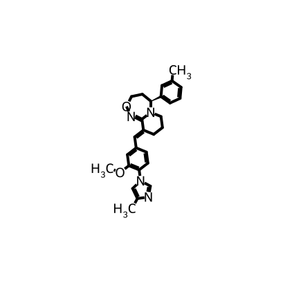 COc1cc(/C=C2\CCCN3C2=NOCC[C@H]3c2cccc(C)c2)ccc1-n1cnc(C)c1